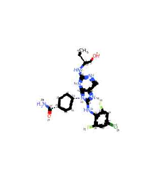 CC[C@@H](CO)Nc1ncc2nc(Nc3c(F)cc(Cl)cc3F)n([C@H]3CC[C@@H](C(N)=O)CC3)c2n1